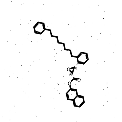 O=C(Oc1ccc2ccccc2c1)[C@@H]1O[C@@H]1c1ccccc1CCCCCCCCc1ccccc1